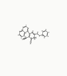 N#Cc1c(-c2cccc3ccccc23)nc(SCc2ccccc2)[nH]c1=O